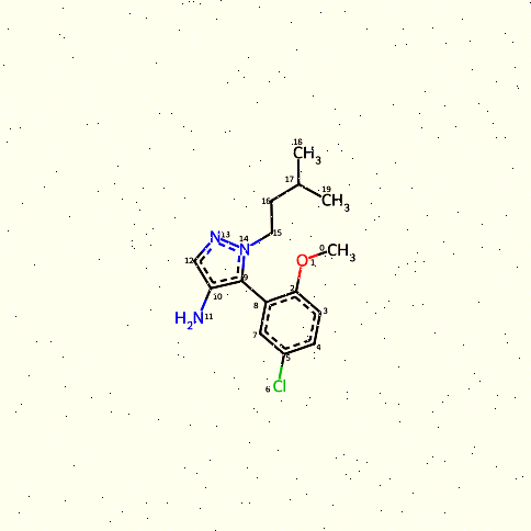 COc1ccc(Cl)cc1-c1c(N)cnn1CCC(C)C